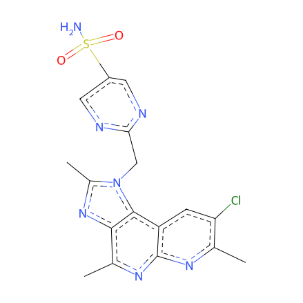 Cc1nc2nc(C)c3nc(C)n(Cc4ncc(S(N)(=O)=O)cn4)c3c2cc1Cl